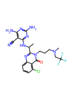 CC(Nc1nc(N)nc(N)c1C#N)c1nc2cccc(Cl)c2c(=O)n1CCCN(C)CC(F)(F)F